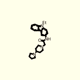 CCn1c2ccccc2c2cc(NC(=O)CN3CCC(N4CCCC4)CC3)ccc21